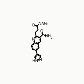 CNC(=O)CCc1nc2ccc(-c3cn[nH]c3)cc2cc1C(N)=O